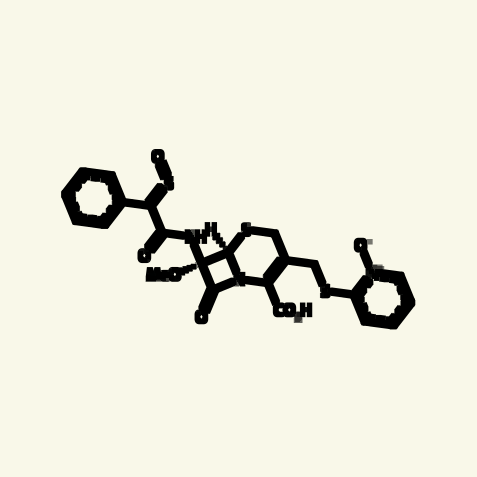 CO[C@@]1(NC(=O)C(=S=O)c2ccccc2)C(=O)N2C(C(=O)O)=C(CSc3cccc[n+]3[O-])CS[C@@H]21